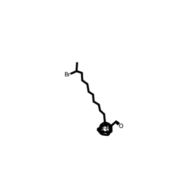 CC(Br)CCCCCCCCC[C]12[CH]3[CH]4[CH]5[C]1(C=O)[Fe]45321678[CH]2[CH]1[CH]6[CH]7[CH]28